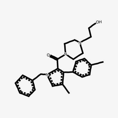 Cc1ccc(-c2c(C)cn(Cc3ccccc3)c2C(=O)N2CCN(CCO)CC2)cc1